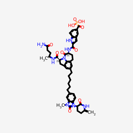 C=C1CCC(n2c(=O)n(C)c3cc(CCCCCCc4cc5c6c(c4)C[C@@H](C(=O)N[C@H](C)CCC(N)=O)N6C(=O)[C@@H](NC(=O)c4cc6cc(C(=O)P(=O)(O)O)ccc6[nH]4)CC5)ccc32)C(=O)N1